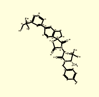 C[C@H](N(Cc1ccc(F)cc1)C(=O)CN1C(=O)O[C@@]2(CCc3cc(-c4cncc(C(F)(F)CF)c4)ccc32)C1=O)C(F)(F)F